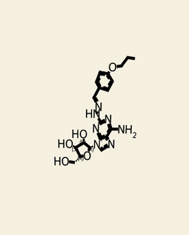 CCCOc1ccc(C=NNc2nc(N)c3ncn([C@@H]4O[C@H](CO)[C@@H](O)[C@H]4O)c3n2)cc1